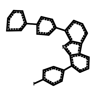 Ic1ccc(-c2cccc3c2sc2c(-c4ccc(-c5ccccc5)cc4)cccc23)cc1